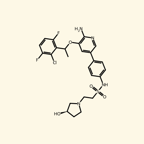 CC(Oc1cc(-c2ccc(NS(=O)(=O)CCN3CC[C@@H](O)C3)cc2)cnc1N)c1c(F)ccc(F)c1Cl